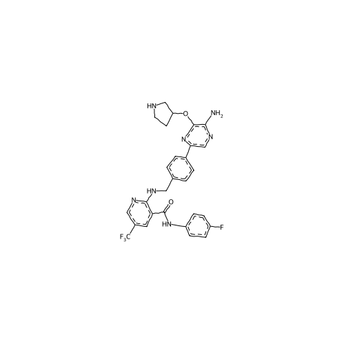 Nc1ncc(-c2ccc(CNc3ncc(C(F)(F)F)cc3C(=O)Nc3ccc(F)cc3)cc2)nc1OC1CCNC1